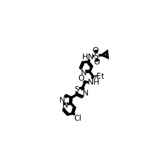 CC[C@@H](NC(=O)c1ncc(-c2cnn3ccc(Cl)cc23)s1)c1cc(NS(=O)(=O)C2CC2)ccn1